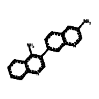 Nc1cnc2cc(-c3cnc4ccccc4c3N)ccc2c1